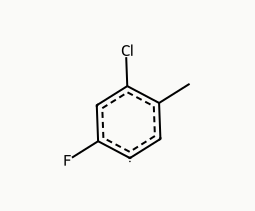 Cc1c[c]c(F)cc1Cl